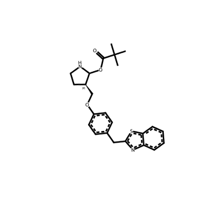 CC(C)(C)C(=O)OC1NCC[C@@H]1COc1ccc(Cc2nc3ccccc3s2)cc1